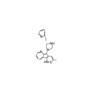 CC1=Cc2c(c3ccccnc-3c2N2CCN[C@@H](CCc3ccccn3)C2)NS1